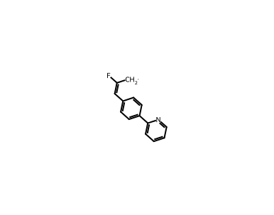 [CH2]/C(F)=C\c1ccc(-c2ccccn2)cc1